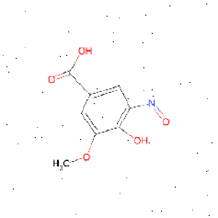 COc1cc(C(=O)O)cc(N=O)c1O